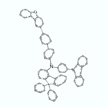 c1ccc(C2(c3ccccc3)c3ccccc3-c3c(N(c4ccc(-c5ccc(-c6ccc7oc8ccccc8c7c6)cc5)cc4)c4ccc(-n5c6ccccc6c6ccccc65)cc4)cccc32)cc1